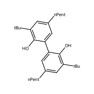 CCCCCc1cc(-c2cc(CCCCC)cc(C(C)(C)C)c2O)c(O)c(C(C)(C)C)c1